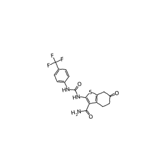 NC(=O)c1c(NC(=O)Nc2ccc(C(F)(F)F)cc2)sc2c1CCC(=O)C2